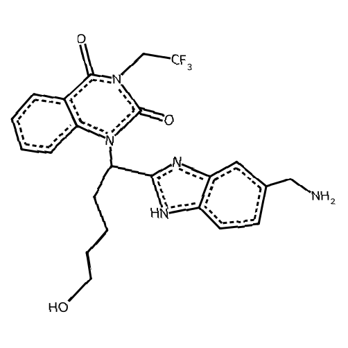 NCc1ccc2[nH]c(C(CCCCO)n3c(=O)n(CC(F)(F)F)c(=O)c4ccccc43)nc2c1